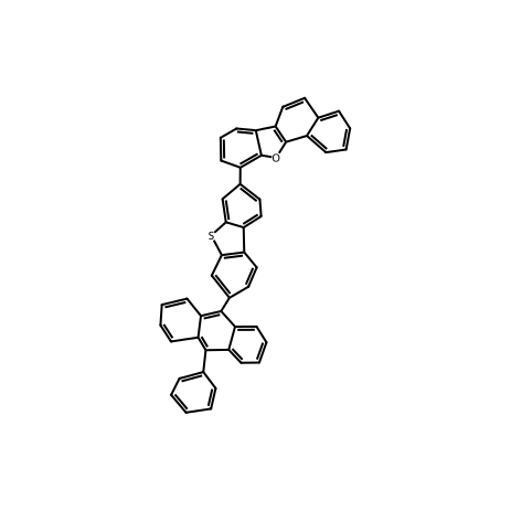 c1ccc(-c2c3ccccc3c(-c3ccc4c(c3)sc3cc(-c5cccc6c5oc5c7ccccc7ccc65)ccc34)c3ccccc23)cc1